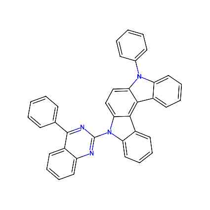 c1ccc(-c2nc(-n3c4ccccc4c4c5c6ccccc6n(-c6ccccc6)c5ccc43)nc3ccccc23)cc1